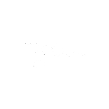 COC(=O)C(C)(Cc1ccc(OCSC)cc1)NC(=O)OC(C)(C)C